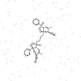 CC(=CC(S(=O)(=O)CCCCS(=O)(=O)C(C=C(C)N=[N+]=[N-])S(=O)(=O)c1ccccc1)S(=O)(=O)c1ccccc1)N=[N+]=[N-]